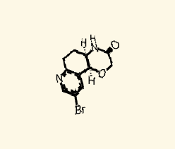 O=C1CO[C@H]2c3cc(Br)cnc3CC[C@H]2N1